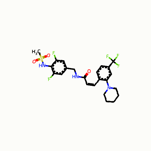 CS(=O)(=O)Nc1c(F)cc(CNC(=O)/C=C\c2ccc(C(F)(F)F)cc2N2CCCCC2)cc1F